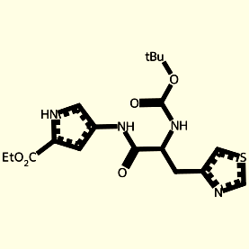 CCOC(=O)c1cc(NC(=O)C(Cc2cscn2)NC(=O)OC(C)(C)C)c[nH]1